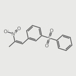 CC(=Cc1cccc(S(=O)(=O)c2ccccc2)c1)[N+](=O)[O-]